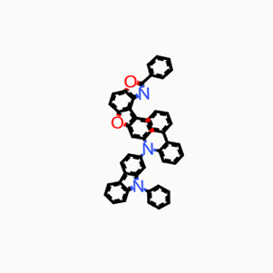 c1ccc(-c2nc3c(ccc4oc5cc(N(c6ccc7c8ccccc8n(-c8ccccc8)c7c6)c6ccccc6-c6ccccc6)ccc5c43)o2)cc1